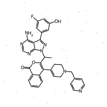 CC(c1oc(=O)c2ccccc2c1C1=CCN(Cc2ccncc2)CC1)n1nc(-c2cc(O)cc(F)c2)c2c(N)ncnc21